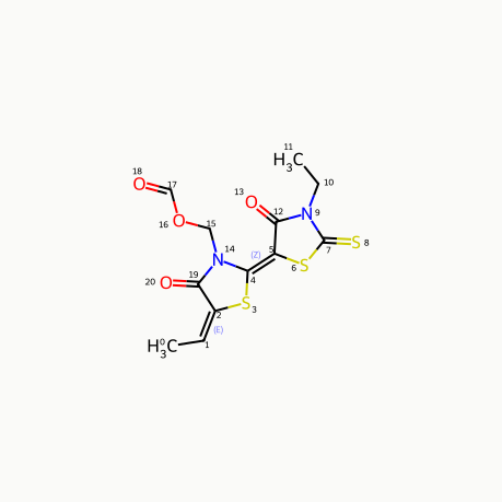 C/C=c1/s/c(=C2\SC(=S)N(CC)C2=O)n(COC=O)c1=O